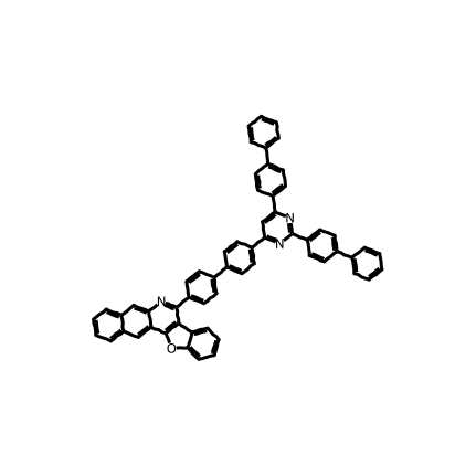 c1ccc(-c2ccc(-c3cc(-c4ccc(-c5ccc(-c6nc7cc8ccccc8cc7c7oc8ccccc8c67)cc5)cc4)nc(-c4ccc(-c5ccccc5)cc4)n3)cc2)cc1